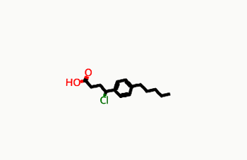 CCCCCc1ccc(C(Cl)CCC(=O)O)cc1